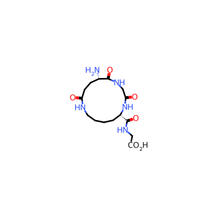 N[C@H]1CCC(=O)NCCCC[C@@H](C(=O)NCC(=O)O)NC(=O)CNC1=O